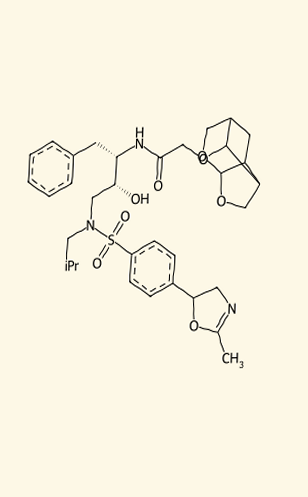 CC1=NCC(c2ccc(S(=O)(=O)N(CC(C)C)C[C@@H](O)[C@H](Cc3ccccc3)NC(=O)COC3C4COC5OCC3C5C4)cc2)O1